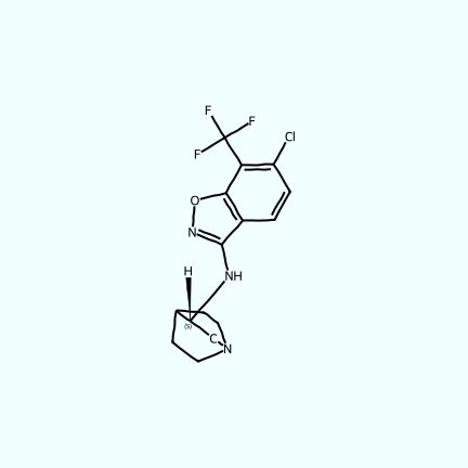 FC(F)(F)c1c(Cl)ccc2c(N[C@@H]3CN4CCC3CC4)noc12